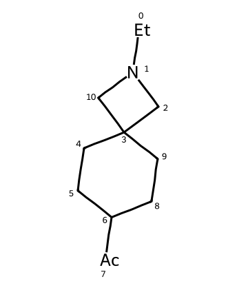 CCN1CC2(CCC(C(C)=O)CC2)C1